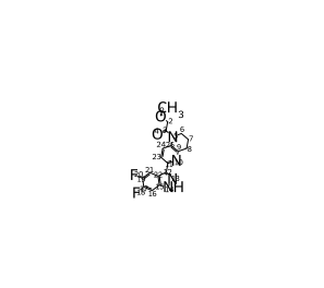 COCC(=O)N1CCCc2nc(-c3n[nH]c4cc(F)c(F)cc34)ccc21